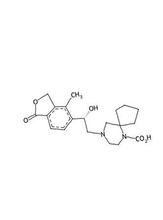 Cc1c([C@H](O)CN2CCN(C(=O)O)C3(CCCC3)C2)ccc2c1COC2=O